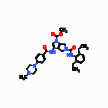 CCc1cccc(CC)c1NC(=O)N1Cc2c(NC(=O)c3ccc(N4CCN(C)CC4)cc3)cn(C(=O)OC)c2C1